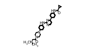 CN(C)CC(=O)N1CCN(c2ccc(Nc3nccc(-c4ccc(NC(=O)C5CC5)cc4)n3)cc2)CC1